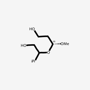 CO[C@@H](CCO)OC(CO)C(C)C